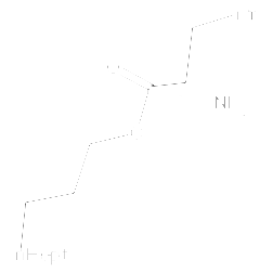 CCCCCCCCCCOC(=O)[C@@H](N)CC(C)C